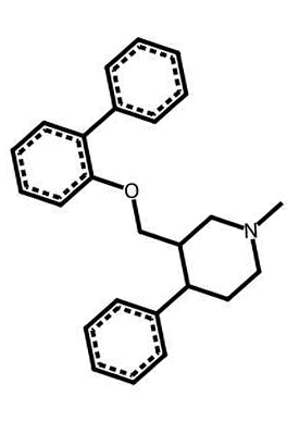 CN1CCC(c2ccccc2)C(COc2ccccc2-c2ccccc2)C1